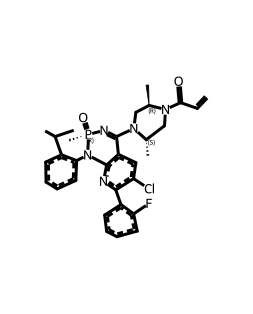 C=CC(=O)N1C[C@H](C)N(C2=N[P@](C)(=O)N(c3ccccc3C(C)C)c3nc(-c4ccccc4F)c(Cl)cc32)C[C@H]1C